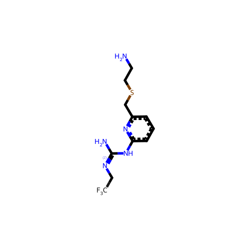 NCCSCc1cccc(N/C(N)=N\CC(F)(F)F)n1